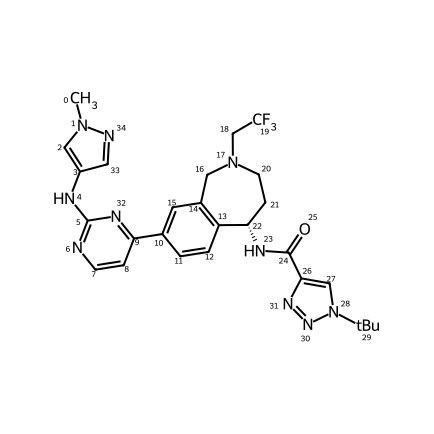 Cn1cc(Nc2nccc(-c3ccc4c(c3)CN(CC(F)(F)F)CC[C@@H]4NC(=O)c3cn(C(C)(C)C)nn3)n2)cn1